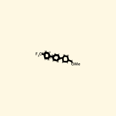 COCC1CCC(c2ccc(-c3ccc(C(F)(F)F)cc3)cc2)CC1